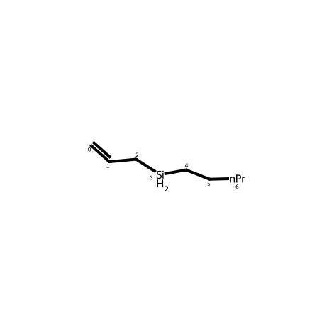 C=CC[SiH2]CCCCC